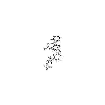 Cc1ccc(S(=O)(=O)OC2CCC2)cc1Sc1nc2n(n1)[C@H](c1ccccc1)C[C@@H]2F